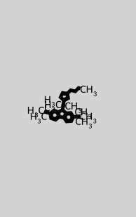 CCCCC1=CCC(C(C)(C)C2c3cc(C(C)(C)C)ccc3-c3ccc(C(C)(C)C)cc32)=C1